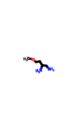 COCCC(N)CN